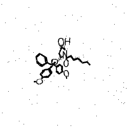 CCCCCCC(=O)N1C[C@H](O)C[C@H]1COC(c1ccccc1)(c1ccc(OC)cc1)c1ccc(OC)cc1